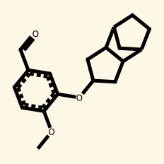 COc1ccc(C=O)cc1OC1CC2C3CCC(C3)C2C1